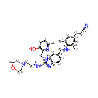 Cc1ccc(O)c(Cn2c(NCCCN3CCOCC3)nc3ccc(CNc4c(C)cc(/C=C/C#N)cc4C)cc32)n1